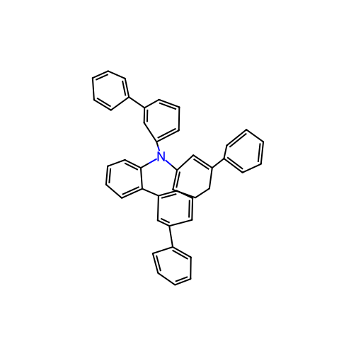 C1=C(c2ccccc2)CCC=C1N(c1cccc(-c2ccccc2)c1)c1ccccc1-c1cccc(-c2ccccc2)c1